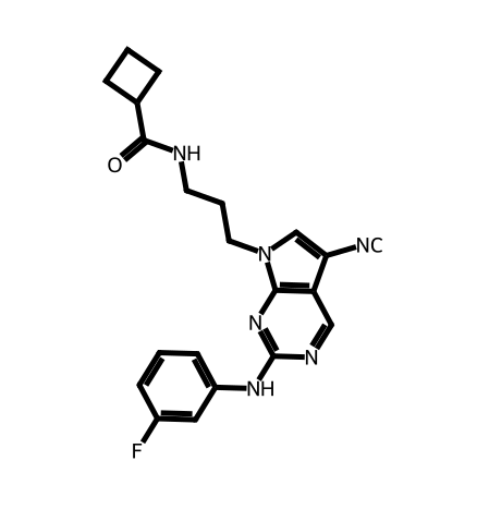 [C-]#[N+]c1cn(CCCNC(=O)C2CCC2)c2nc(Nc3cccc(F)c3)ncc12